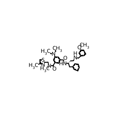 CCN(CC)c1cc(C(=O)N[C@H](CCNCc2cccc(OC)c2)Cc2ccccc2)cc(C(=O)N(C)Cc2nc(C)cs2)c1